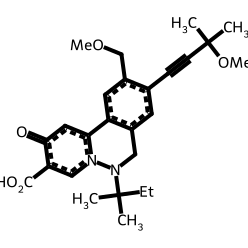 CCC(C)(C)N1Cc2cc(C#CC(C)(C)OC)c(COC)cc2-c2cc(=O)c(C(=O)O)cn21